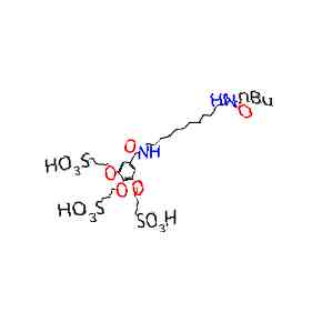 CCCCC(=O)NCCCCCCCCCCCCNC(=O)c1cc(OCCCS(=O)(=O)O)c(OCCCS(=O)(=O)O)c(OCCCS(=O)(=O)O)c1